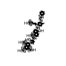 Cc1cc(N=Nc2ccc3c(S(=O)(=O)O)c(N=Nc4cnn(-c5cc(S(=O)(=O)O)c6cc(S(=O)(=O)O)cc(S(=O)(=O)O)c6c5)c4O)ccc3c2O)c(OCCCS(=O)(=O)O)cc1N=Nc1nc2ccccc2s1